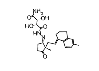 Cc1ccc2c(c1)CCC/C2=C\C[C@]1(C)C(=O)CC/C1=N\NC(=O)[C@H](O)[C@@H](O)C(N)=O